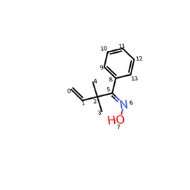 C=CC(C)(C)C(=NO)c1ccccc1